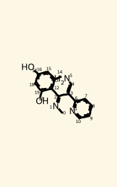 C/N=C(\C(=C/N)c1ccccn1)c1c(C)cc(O)cc1O